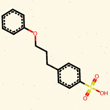 O=S(=O)(O)c1ccc(CCCOc2ccccc2)cc1